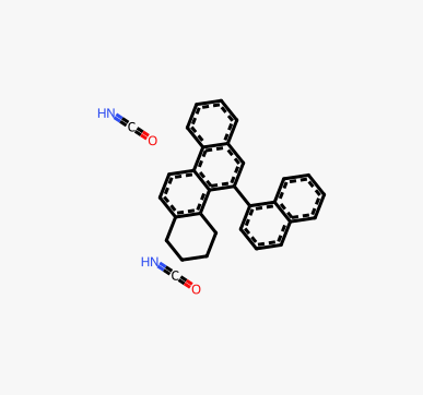 N=C=O.N=C=O.c1ccc2c(-c3cc4ccccc4c4ccc5c(c34)CCCC5)cccc2c1